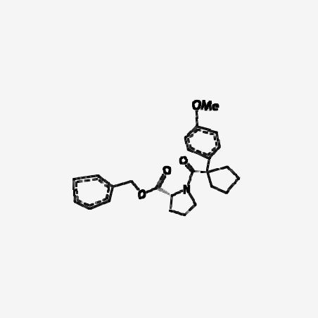 COc1ccc(C2(C(=O)N3CCC[C@@H]3C(=O)OCc3ccccc3)CCCC2)cc1